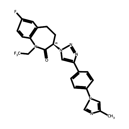 Cc1cn(-c2ccc(-c3cn([C@@H]4CCc5cc(F)ccc5N(CC(F)(F)F)C4=O)nn3)cc2)cn1